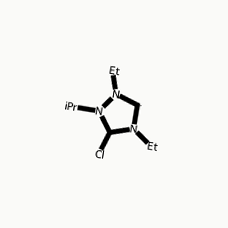 CCN1[CH]N(CC)N(C(C)C)C1Cl